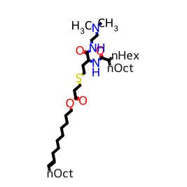 CCCCCCCCC=CCCCCCCCCOC(=O)CCSCCC(NC(=O)C(CCCCCC)CCCCCCCC)C(=O)NCCN(C)C